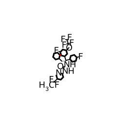 CC(F)(F)c1ccc(NC(=O)N[C@](Cc2ccccc2)(c2ccc(F)cc2)c2cc(F)cc(OC(F)(F)C(F)F)c2)nc1